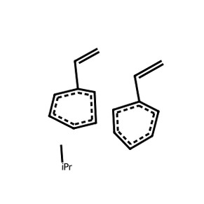 C=Cc1ccccc1.C=Cc1ccccc1.CC(C)C